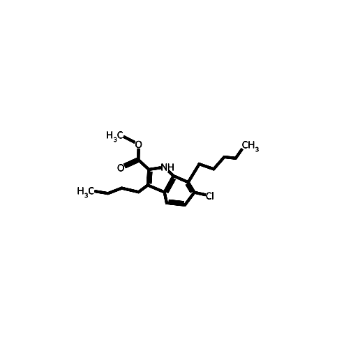 CCCCCc1c(Cl)ccc2c(CCCC)c(C(=O)OC)[nH]c12